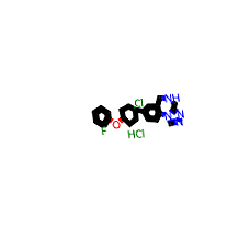 Cl.Fc1ccccc1OC1CCC(Cl)(c2ccc3c(c2)CNCc2nncn2-3)CC1